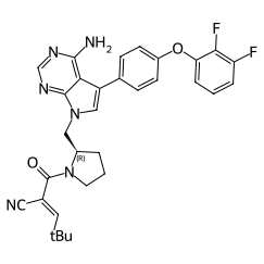 CC(C)(C)C=C(C#N)C(=O)N1CCC[C@@H]1Cn1cc(-c2ccc(Oc3cccc(F)c3F)cc2)c2c(N)ncnc21